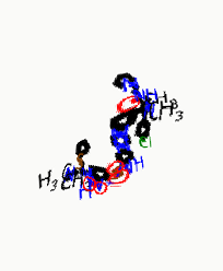 Cc1c(C(=O)NCCN2CCCCC2)c(-c2cccc(N3CCN(c4ccc(NS(=O)(=O)c5ccc(N[C@H](CCN(C)C)CSc6ccccc6)c([N+](=O)[O-])c5)cc4)CC3)c2)c(-c2ccc(Cl)cc2)n1C